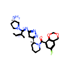 C/C=C(C)\C(=N/C1=NN=C([C@@H]2CCCCN2C(=O)c2cc(F)cc3c2OCOC3)C1)N1CC[C@H](N)C1